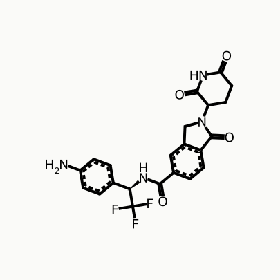 Nc1ccc([C@@H](NC(=O)c2ccc3c(c2)CN(C2CCC(=O)NC2=O)C3=O)C(F)(F)F)cc1